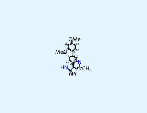 CCCC(=N)c1cc(C)nc2cc(-c3ccc(OC)cc3OC)ccc12